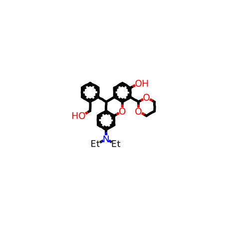 CCN(CC)c1ccc2c(c1)Oc1c(ccc(O)c1C1OCCCO1)C2c1ccccc1CO